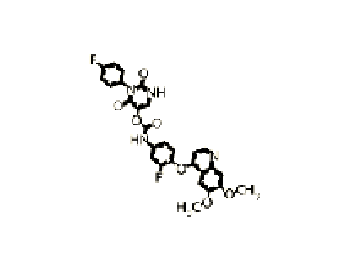 COc1cc2nccc(Oc3ccc(NC(=O)Oc4c[nH]c(=O)n(-c5ccc(F)cc5)c4=O)cc3F)c2cc1OC